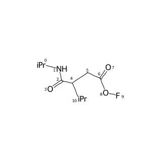 CC(C)NC(=O)C(CC(=O)OF)C(C)C